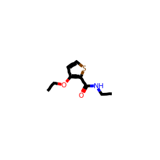 CCNC(=O)c1sccc1OCC